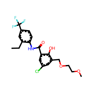 CCc1cc(C(F)(F)F)ccc1NC(=O)c1cc(Cl)cc(COCCOC)c1O